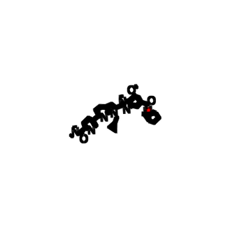 COc1cc(C(=O)N2CC3CCC2[C@@H]3C)cc2nc(-c3cc4ccc(-c5ccc(C(=O)N(C)C)nc5)nc4n3CC3CC3)n(C)c12